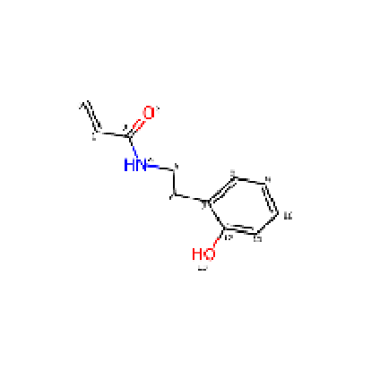 C=CC(=O)NCCc1ccccc1O